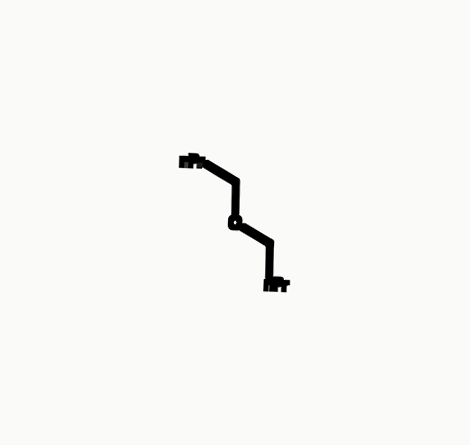 [CH2]CCCOCCCC